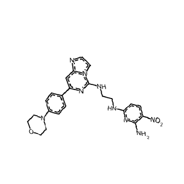 Nc1nc(NCCNc2nc(-c3ccc(N4CCOCC4)cc3)cc3nccn23)ccc1[N+](=O)[O-]